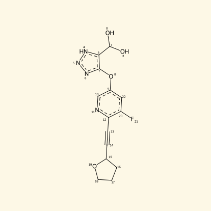 OC(O)c1[nH]nnc1Oc1cnc(C#CC2CCCO2)c(F)c1